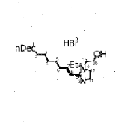 Br.CCCCCCCCCCCCCCCC=CC1=NCC[N+]1(CC)CCO